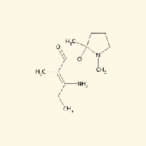 CCC(N)=C(C)C(=O)OC1(C)CCCN1C